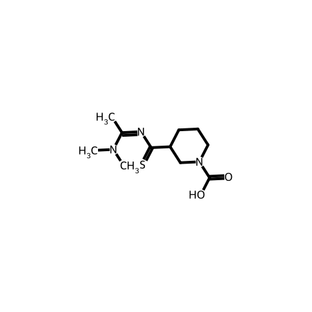 CC(=NC(=S)C1CCCN(C(=O)O)C1)N(C)C